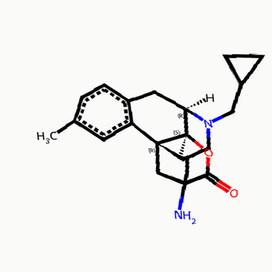 Cc1ccc2c(c1)[C@]13CCN(CC4CC4)[C@H](C2)[C@]12CCC(N)(C3)C(=O)O2